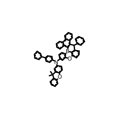 CC1(C)c2ccccc2Oc2ccc(N(c3ccc(-c4ccccc4)cc3)c3ccc4c(c3)Oc3cccc5c3B4c3c(c4ccccc4c4ccccc34)C5c3ccccc3)cc21